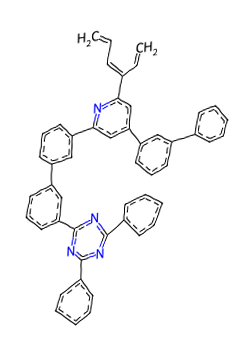 C=C/C=C(\C=C)c1cc(-c2cccc(-c3ccccc3)c2)cc(-c2cccc(-c3cccc(-c4nc(-c5ccccc5)nc(-c5ccccc5)n4)c3)c2)n1